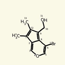 Cc1c2cocc(Br)c-2c(CO)c1C